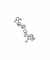 O=C(Cn1cc(C2CC2)cc(C(F)(F)F)c1=O)N1CCC(c2nc(C3=NOC(c4c(F)cccc4F)C3)cs2)CC1